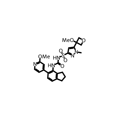 COc1cc(-c2ccc3c(c2NC(=O)NS(=O)(=O)c2cc(C4(OC)COC4)n(C)n2)CCC3)ccn1